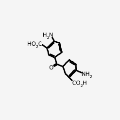 NC1=C(C(=O)O)CC(C(=O)c2ccc(N)c(C(=O)O)c2)C=C1